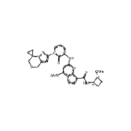 CNc1cc(Nc2cccn(-c3cc4n(n3)C3(CC3)COC4)c2=O)nc2c(C(=O)N[C@@H]3CC[C@H]3OC)cnn12